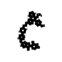 CCC(=C(c1ccc(O)cc1)c1ccc(OCCN2CCN(c3ncc(Oc4ccc5c(c4)CN(C4CCC(=O)NC4=O)C5=O)cn3)CC2)cc1)c1ccccc1